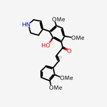 COc1cccc(/C=C/C(=O)c2c(OC)cc(OC)c(C3=CCNCC3)c2O)c1OC